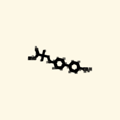 COC(=O)C(C)(C)COc1ccc(-c2ccc(C(=O)O)cc2)cn1